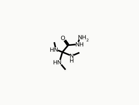 CNC(NC)(NC)C(=O)NN